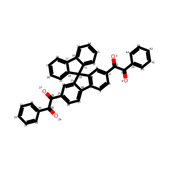 O=C(C(=O)c1ccc2c(c1)C1(c3ccccc3-c3ccccc31)c1cc(C(=O)C(=O)c3ccccc3)ccc1-2)c1ccccc1